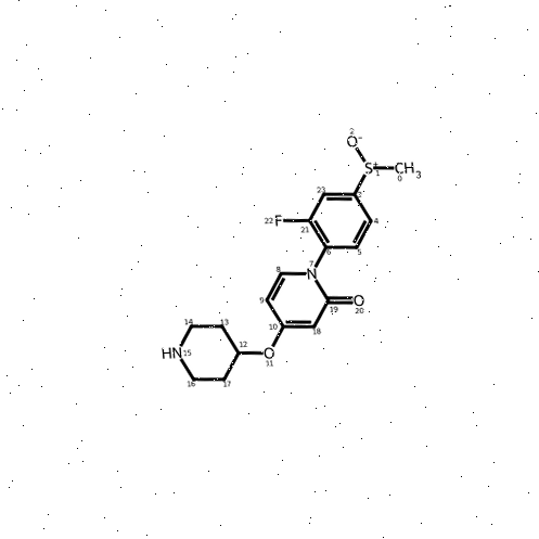 C[S+]([O-])c1ccc(-n2ccc(OC3CCNCC3)cc2=O)c(F)c1